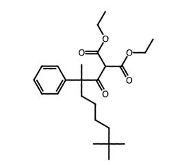 CCOC(=O)C(C(=O)OCC)C(=O)C(C)(CCCCC(C)(C)C)c1ccccc1